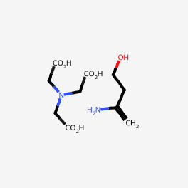 C=C(N)CCO.O=C(O)CN(CC(=O)O)CC(=O)O